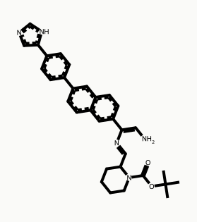 CC(C)(C)OC(=O)N1CCCCC1/C=N/C(=C\N)c1ccc2cc(-c3ccc(-c4cnc[nH]4)cc3)ccc2c1